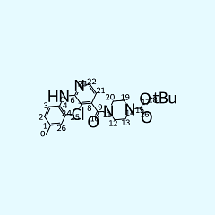 Cc1ccc(Nc2cc(C(=O)N3CCN(C(=O)OC(C)(C)C)CC3)ccn2)c(Cl)c1